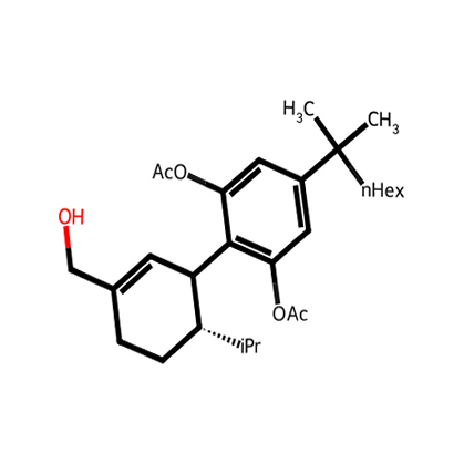 CCCCCCC(C)(C)c1cc(OC(C)=O)c(C2C=C(CO)CC[C@H]2C(C)C)c(OC(C)=O)c1